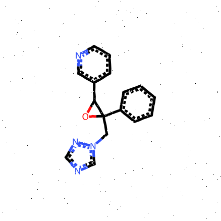 c1ccc(C2(Cn3cncn3)OC2c2cccnc2)cc1